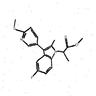 COC(=O)C(C)n1c(C)c(-c2ccc(OC)nc2)c2cc(F)ccc21